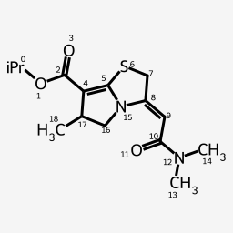 CC(C)OC(=O)C1=C2SCC(=CC(=O)N(C)C)N2CC1C